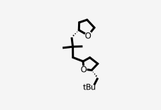 CC(C)(C)C[C@H]1CCC(CC(C)(C)C[C@@H]2CCCO2)O1